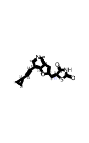 O=C1NC(=O)/C(=C\c2cc3cncc(C#CC4CC4)c3o2)S1